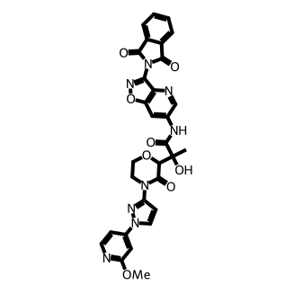 COc1cc(-n2ccc(N3CCOC(C(C)(O)C(=O)Nc4cnc5c(N6C(=O)c7ccccc7C6=O)noc5c4)C3=O)n2)ccn1